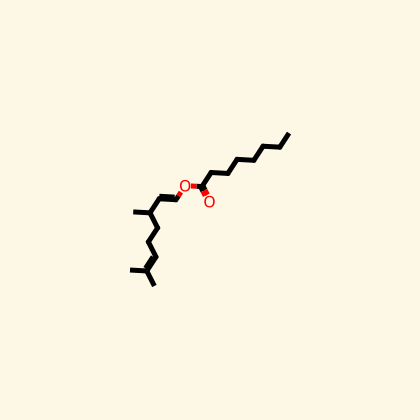 CCCCCCCC(=O)OC=CC(C)CCC=C(C)C